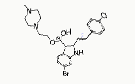 CN1CCN(CCO[C@H](O)C2c3ccc(Br)cc3NC2/C=C/c2ccc(Cl)cc2)CC1